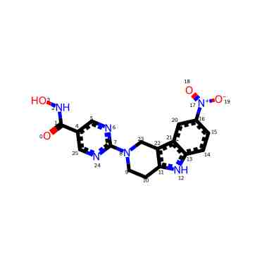 O=C(NO)c1cnc(N2CCc3[nH]c4ccc([N+](=O)[O-])cc4c3C2)nc1